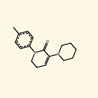 Cc1ccc(N2CCC=C(N3CCCCC3)C2=O)cc1